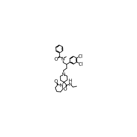 CCNC(=O)C1(N2CCCCC2=O)CCN(CCC(CN(C)C(=O)c2ccccc2)c2ccc(Cl)c(Cl)c2)CC1